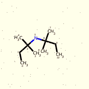 CCC(C)(C)[N]C(C)(C)CC